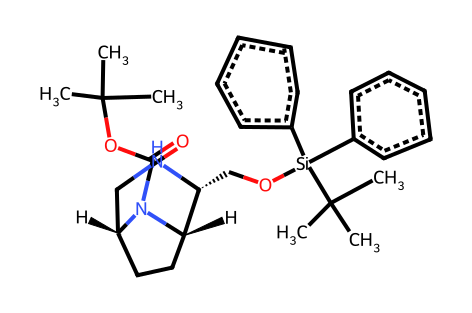 CC(C)(C)OC(=O)N1[C@@H]2CC[C@H]1[C@@H](CO[Si](c1ccccc1)(c1ccccc1)C(C)(C)C)NC2